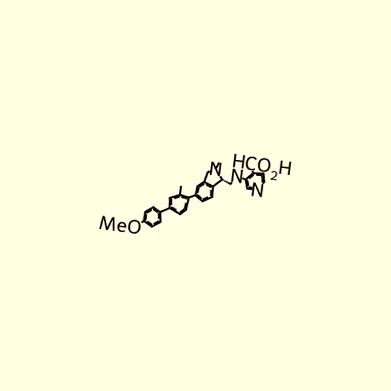 COc1ccc(-c2ccc(-c3ccc4c(c3)CN(C)[C@H]4CNc3cnccc3C(=O)O)c(C)c2)cc1